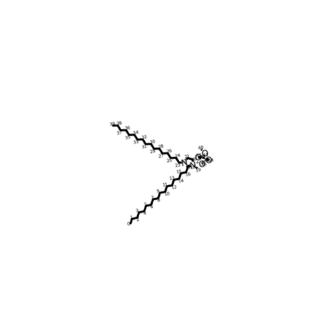 CCCCCCCCCCCCCCCCCC1=[N+](C)CCN1CCCCCCCCCCCCCCCCC.COS(=O)(=O)[O-]